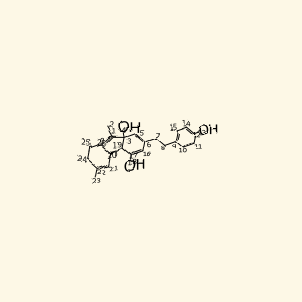 C=C(C)C1(O)C=C(CCc2ccc(O)cc2)C=C(O)[C@H]1C1C=C(C)CCC1